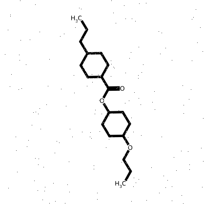 CCCOC1CCC(OC(=O)C2CCC(CCC)CC2)CC1